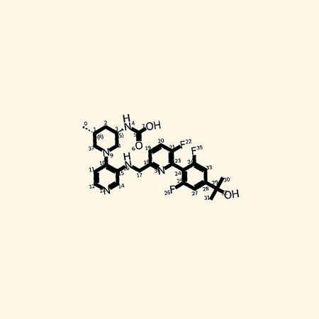 C[C@@H]1C[C@H](NC(=O)O)CN(c2ccncc2NCc2ccc(F)c(-c3c(F)cc(C(C)(C)O)cc3F)n2)C1